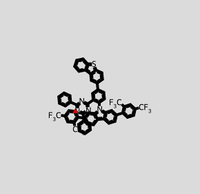 FC(F)(F)c1ccc(-c2ccc3c4ccc(-c5ccc(C(F)(F)F)cc5C(F)(F)F)cc4n(-c4ccc(-c5ccc6sc7ccccc7c6c5)cc4-c4nc(-c5ccccc5)nc(-c5ccccc5)n4)c3c2)c(C(F)(F)F)c1